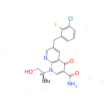 CC(C)(C)[C@@H](CO)n1cc(C(N)=O)c(=O)c2cc(Cc3cccc(Cl)c3F)cnc21